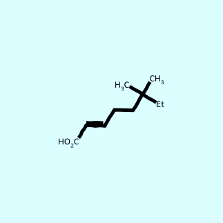 CCC(C)(C)CCC=CC(=O)O